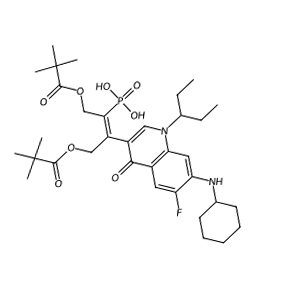 CCC(CC)n1cc(C(COC(=O)C(C)(C)C)=C(COC(=O)C(C)(C)C)P(=O)(O)O)c(=O)c2cc(F)c(NC3CCCCC3)cc21